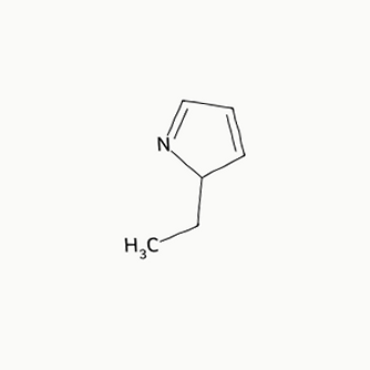 CCC1C=CC=N1